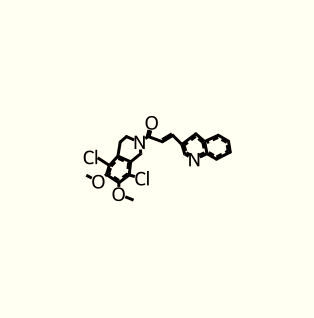 COc1c(Cl)c2c(c(Cl)c1OC)CN(C(=O)/C=C/c1cnc3ccccc3c1)CC2